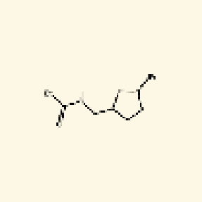 CCC(=O)NCC1CCN(C(C)C)C1